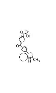 CC1CCC(c2ccc(C(=O)N3CCN(C(=O)C4(O)CC4)CC3)cc2)C2(CCCCCCCC2)N1